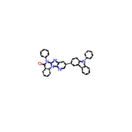 O=c1c2ccccc2n2c3ncc(-c4ccc5c(c4)c4ccccc4n5-c4ccccc4)cc3nc2n1-c1ccccc1